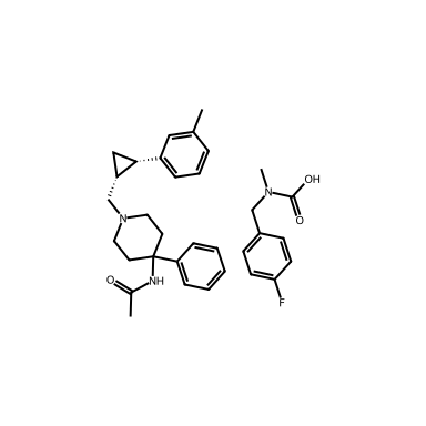 CC(=O)NC1(c2ccccc2)CCN(C[C@@H]2C[C@@H]2c2cccc(C)c2)CC1.CN(Cc1ccc(F)cc1)C(=O)O